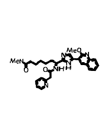 CNC(=O)CCCCCC(NC(=O)Cc1ccccn1)c1ncc(-c2cc3ccccc3nc2OC)[nH]1